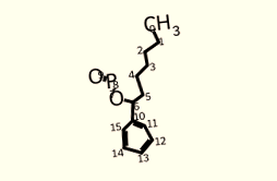 CCCCCCC(OP=O)c1ccccc1